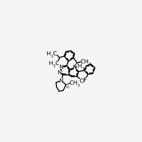 CC(C)c1cccc(C(C)C)c1-c1nnc(N2CCCC[C@@H]2C)c2cc(Cl)c(-c3ccccc3F)nc12